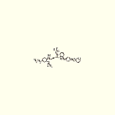 COc1cc(SN)ccc1NCC#Cc1cc2c(Nc3ccc(N4CC5(CCCOC5)C4)cc3)cccc2n1CC(F)(F)F